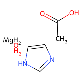 CC(=O)O.O.[MgH2].c1c[nH]cn1